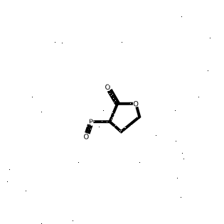 O=PC1CCOC1=O